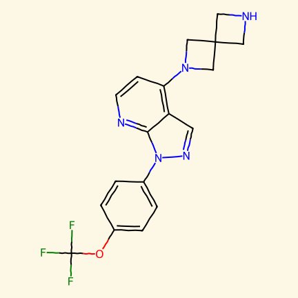 FC(F)(F)Oc1ccc(-n2ncc3c(N4CC5(CNC5)C4)ccnc32)cc1